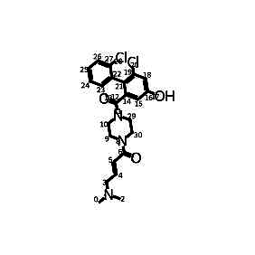 CN(C)C/C=C/C(=O)N1CCN(C(=O)c2cc(O)cc(Cl)c2-c2ccccc2Cl)CC1